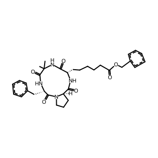 CC1(C)NC(=O)[C@H](CCCCCC(=O)OCc2ccccc2)NC(=O)[C@H]2CCCN2C(=O)[C@H](Cc2ccccc2)NC1=O